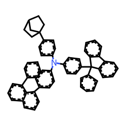 c1ccc(-c2cccc3cccc(-c4ccc(N(c5ccc(C67CCC(CC6)C7)cc5)c5ccc(C6(c7ccccc7)c7ccccc7-c7ccccc76)cc5)cc4)c23)cc1